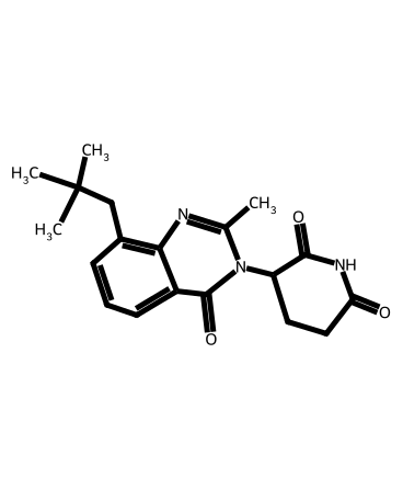 Cc1nc2c(CC(C)(C)C)cccc2c(=O)n1C1CCC(=O)NC1=O